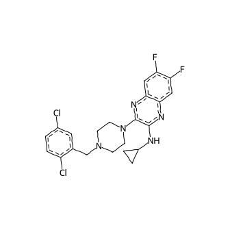 Fc1cc2nc(NC3CC3)c(N3CCN(Cc4cc(Cl)ccc4Cl)CC3)nc2cc1F